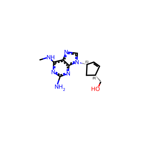 CNc1nc(N)nc2c1ncn2[C@@H]1C=C[C@H](CO)C1